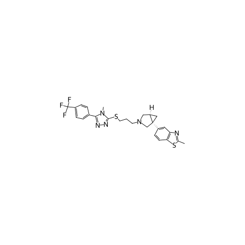 Cc1nc2cc([C@@]34C[C@@H]3CN(CCCSc3nnc(-c5ccc(C(F)(F)F)cc5)n3C)C4)ccc2s1